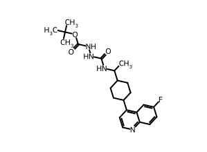 CC(NC(=O)NNC(=O)OC(C)(C)C)C1CCC(c2ccnc3ccc(F)cc23)CC1